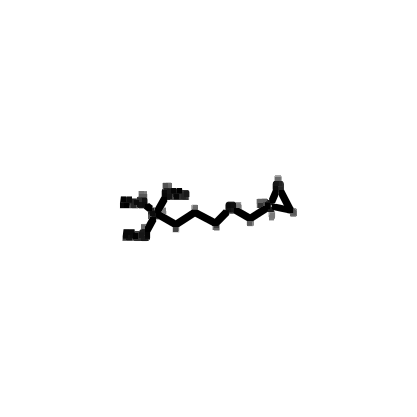 CO[Si](CCCOC[13CH]1CO1)(OC)OC